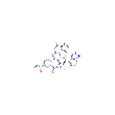 C=CC(=O)N1CCN2c3nc(=O)n(-c4c(C)ccnc4C(C)C)c4c(F)c(-c5c(C)ccc6[nH]ncc56)c(Cl)c(c34)NC(=O)C2C1